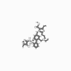 CCCc1nc(CC)c(C(=O)OC)n1Cc1ccc(-c2ccccc2S(=O)(=O)Nc2noc(C)c2Cl)c(COCC)c1